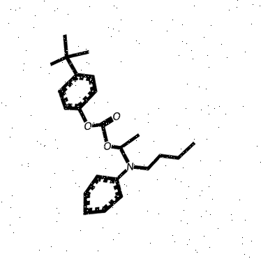 CCCCN(c1ccccc1)C(C)OC(=O)Oc1ccc(C(C)(C)C)cc1